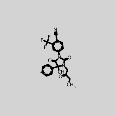 CCC(=O)CN1C(=O)N(c2ccc(C#N)c(C(F)(F)F)c2)C(=O)C1(C)c1cc[c]cc1